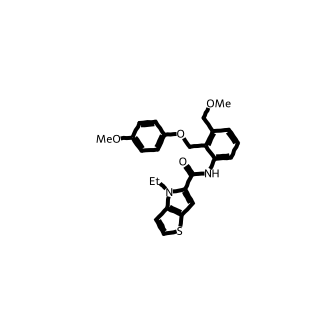 CCn1c(C(=O)Nc2cccc(COC)c2COc2ccc(OC)cc2)cc2sccc21